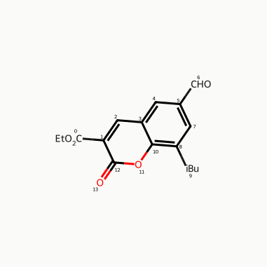 CCOC(=O)c1cc2cc(C=O)cc(C(C)CC)c2oc1=O